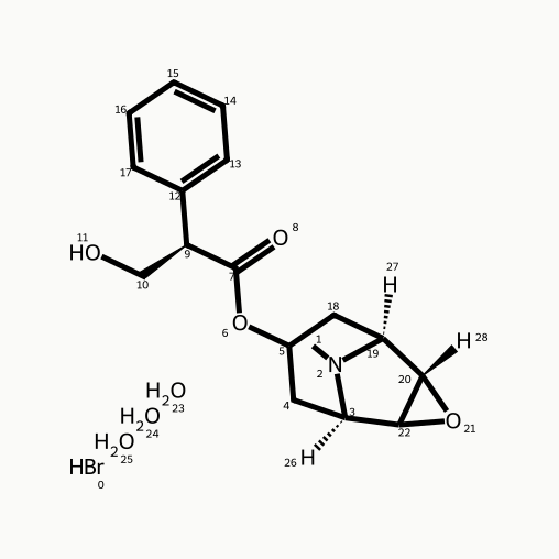 Br.CN1[C@@H]2CC(OC(=O)[C@@H](CO)c3ccccc3)C[C@H]1[C@@H]1OC12.O.O.O